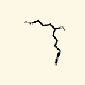 CCCCCCCCCCC(C)CCCN=[N+]=[N-]